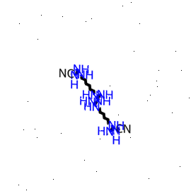 N#CNC(=N)NCCCCCCNC(=N)NC(=N)NCCCCCCNC(=N)NC#N